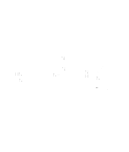 O=C(c1cc2ccc(-c3nccc(Nc4ccc(-c5cn[nH]c5)cc4)n3)cc2[nH]1)N1CC[C@]2(C1)CC2(F)F